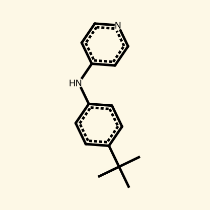 CC(C)(C)c1ccc(Nc2ccncc2)cc1